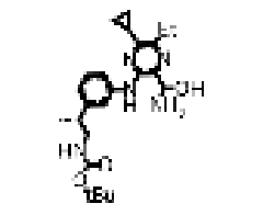 CCc1nc(C(N)O)c(Nc2cccc([C@@H](C)CNC(=O)OC(C)(C)C)c2)nc1C1CC1